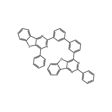 c1ccc(-c2nc(-c3cccc(-c4cccc(-c5nc(-c6ccccc6)c6sc7ccccc7c6n5)c4)c3)c3oc4ccccc4c3n2)cc1